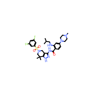 CC(C)CNc1cc(N2CCN(C)CC2)ccc1C(=O)Nc1n[nH]c2c1CN(S(=O)(=O)c1cc(F)cc(F)c1)CC2(C)C